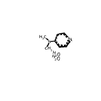 CN(C)c1ccncc1.O.O